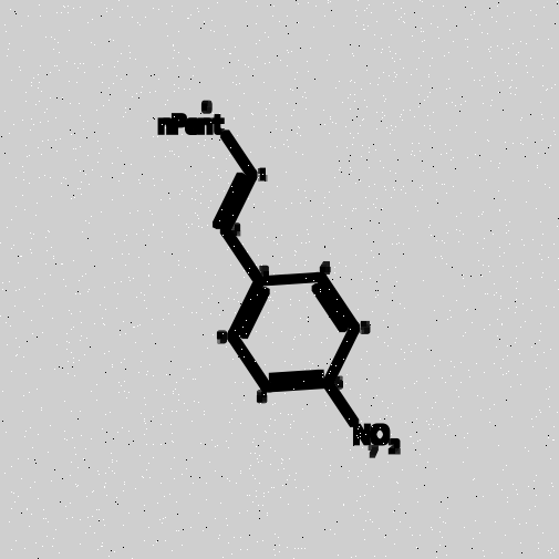 CCCCCC=Cc1ccc([N+](=O)[O-])cc1